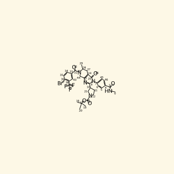 CNC(=O)c1ccc(-n2c(C3CCN(C(=O)OC(C)(C)C)C3)nc3c(c2=O)CC(C)N(C(=O)c2ccc(Br)c(C(F)(F)F)c2)C3)cc1